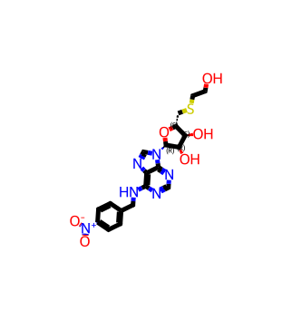 O=[N+]([O-])c1ccc(CNc2ncnc3c2ncn3[C@@H]2O[C@H](CSCCO)[C@@H](O)[C@H]2O)cc1